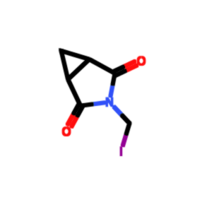 O=C1C2CC2C(=O)N1CI